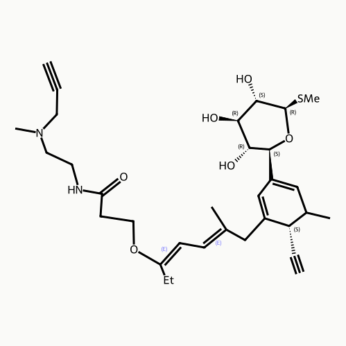 C#CCN(C)CCNC(=O)CCO/C(=C/C=C(\C)CC1=CC([C@@H]2O[C@H](SC)[C@@H](O)[C@H](O)[C@H]2O)=CC(C)[C@@H]1C#C)CC